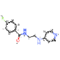 O=C(NCCNc1ccncc1)c1ccc(F)cc1